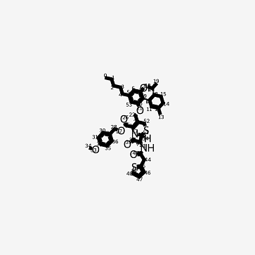 CCCCCc1cc(O)c([C@@H]2C=C(C)CC[C@H]2C(C)C)c(OCC2=C(C(=O)OCc3ccc(OC)cc3)N3C(=O)[C@@H](NC(=O)Cc4cccs4)[C@H]3SC2)c1